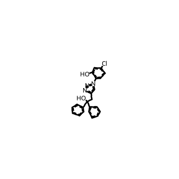 Oc1cc(Cl)ccc1-n1cc(CC(O)(c2ccccc2)c2ccccc2)nn1